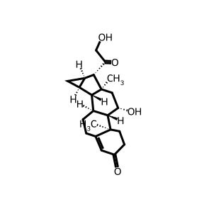 C[C@]12C[C@H](O)[C@H]3[C@@H](CCC4=CC(=O)CC[C@@]43C)[C@@H]1[C@H]1C[C@H]1[C@@H]2C(=O)CO